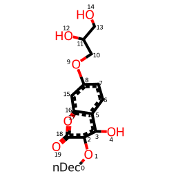 CCCCCCCCCCOc1c(O)c2ccc(OCC(O)CO)cc2oc1=O